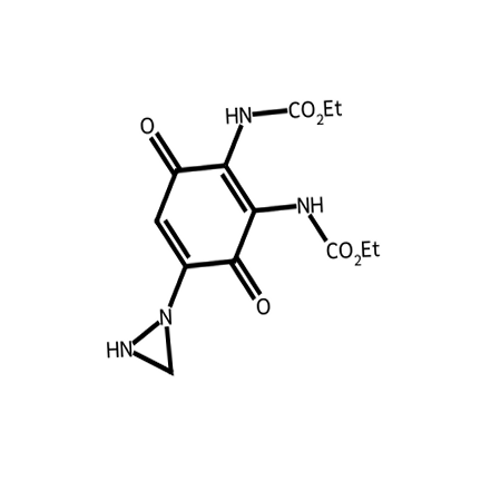 CCOC(=O)NC1=C(NC(=O)OCC)C(=O)C(N2CN2)=CC1=O